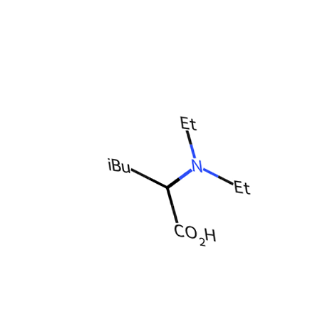 CCC(C)C(C(=O)O)N(CC)CC